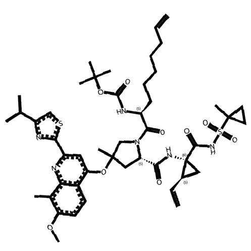 C=CCCCCC[C@H](NC(=O)OC(C)(C)C)C(=O)N1CC(C)(Oc2cc(-c3nc(C(C)C)cs3)nc3c(C)c(OC)ccc23)C[C@H]1C(=O)N[C@]1(C(=O)NS(=O)(=O)C2(C)CC2)C[C@H]1C=C